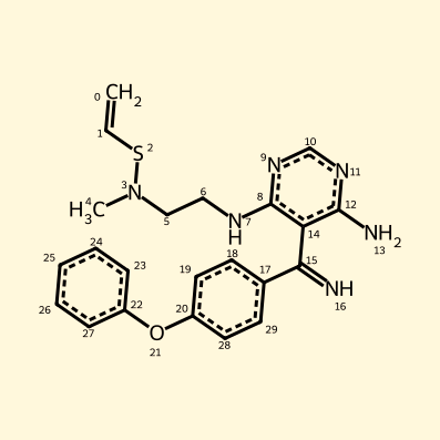 C=CSN(C)CCNc1ncnc(N)c1C(=N)c1ccc(Oc2ccccc2)cc1